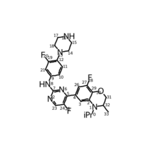 CC(C)N1c2cc(-c3nc(Nc4ccc(N5CCNCC5)c(F)c4)ncc3F)cc(F)c2OCC1C